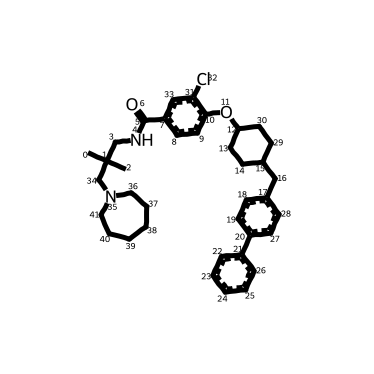 CC(C)(CNC(=O)c1ccc(OC2CCC(Cc3ccc(-c4ccccc4)cc3)CC2)c(Cl)c1)CN1CCCCCC1